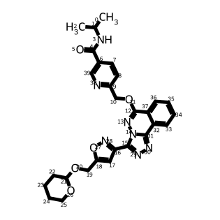 CC(C)NC(=O)c1ccc(COc2nn3c(-c4cc(COC5CCCCO5)on4)nnc3c3ccccc23)nc1